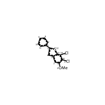 COc1cc2cc(-c3ccccc3)sc2c(Cl)c1Cl